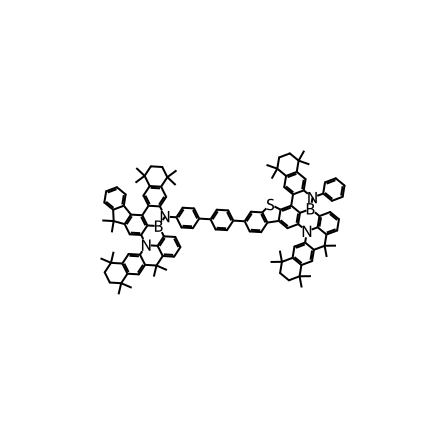 CC1(C)CCC(C)(C)c2cc3c(cc21)-c1c2c(cc4c1-c1ccccc1C4(C)C)N1c4cc5c(cc4C(C)(C)c4cccc(c41)B2N3c1ccc(-c2ccc(-c3ccc4c(c3)sc3c6c7c(cc34)N3c4cc8c(cc4C(C)(C)c4cccc(c43)B7N(c3ccccc3)c3cc4c(cc3-6)C(C)(C)CCC4(C)C)C(C)(C)CCC8(C)C)cc2)cc1)C(C)(C)CCC5(C)C